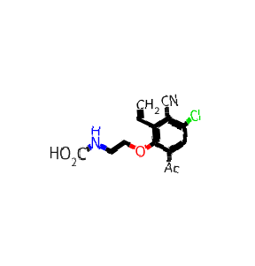 C=Cc1c(C#N)c(Cl)cc(C(C)=O)c1OCCNC(=O)O